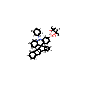 CC1(C)OB(c2ccc3c(c2)N(c2ccccc2)c2ccccc2C32c3ccccc3-c3cc4ccccc4cc32)OC1(C)C